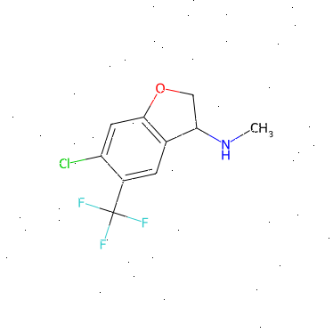 CNC1COc2cc(Cl)c(C(F)(F)F)cc21